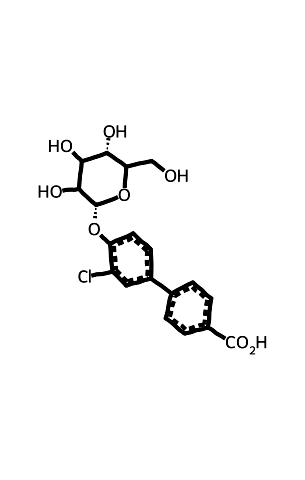 O=C(O)c1ccc(-c2ccc(O[C@H]3OC(CO)[C@@H](O)C(O)C3O)c(Cl)c2)cc1